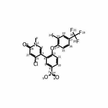 Cn1cc(-c2cc([N+](=O)[O-])ccc2Oc2ccc(C(F)(F)F)cc2I)c(Cl)cc1=O